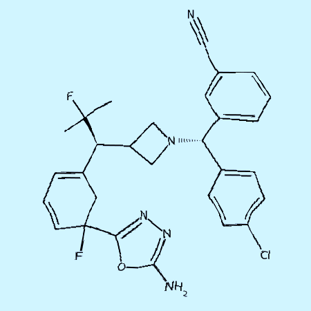 CC(C)(F)[C@H](C1=CC=CC(F)(c2nnc(N)o2)C1)C1CN([C@@H](c2ccc(Cl)cc2)c2cccc(C#N)c2)C1